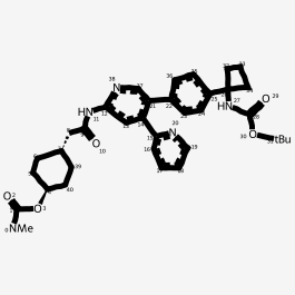 CNC(=O)O[C@H]1CC[C@H](CC(=O)Nc2cc(-c3ccccn3)c(-c3ccc(C4(NC(=O)OC(C)(C)C)CCC4)cc3)cn2)CC1